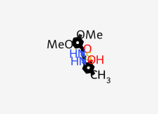 COc1cc(OC)cc(C(=O)NC(=S)Nc2ccc(C)cc2O)c1